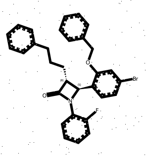 O=C1[C@H](CCCc2ccccc2)[C@@H](c2ccc(Br)cc2OCc2ccccc2)N1c1ccccc1F